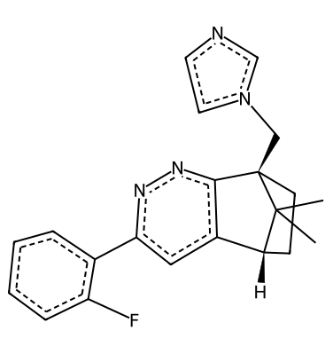 CC1(C)[C@@H]2CC[C@@]1(Cn1ccnc1)c1nnc(-c3ccccc3F)cc12